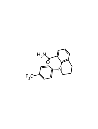 NC(=O)c1cccc2c1N(c1ccc(C(F)(F)F)cc1)CCC2